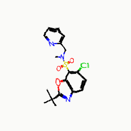 CN(Cc1ccccn1)S(=O)(=O)c1c(Cl)ccc2nc(C(C)(C)C)oc12